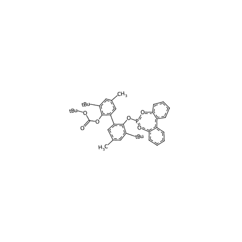 Cc1cc(-c2cc(C)cc(C(C)(C)C)c2Op2oc3ccccc3c3ccccc3o2)c(OC(=O)OC(C)(C)C)c(C(C)(C)C)c1